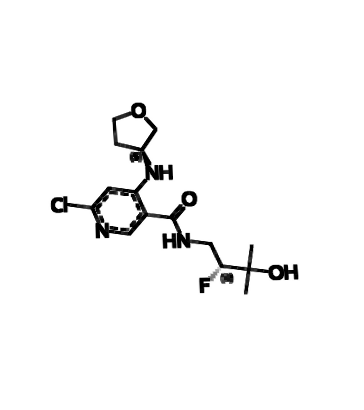 CC(C)(O)[C@H](F)CNC(=O)c1cnc(Cl)cc1N[C@H]1CCOC1